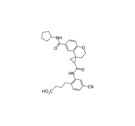 N#Cc1ccc(CCCC(=O)O)c(NC(=O)C2CC23CCOc2ccc(C(=O)NC4CCCC4)cc23)c1